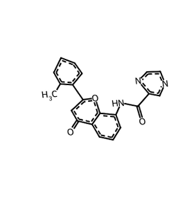 Cc1ccccc1-c1cc(=O)c2cccc(NC(=O)c3cnccn3)c2o1